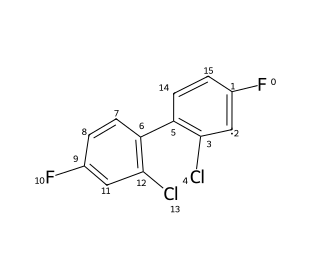 Fc1[c]c(Cl)c(-c2ccc(F)cc2Cl)cc1